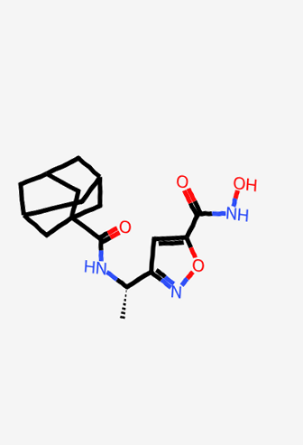 C[C@H](NC(=O)C12CC3CC(CC(C3)C1)C2)c1cc(C(=O)NO)on1